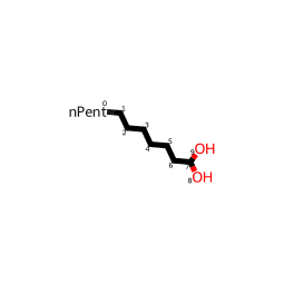 [CH2]CCCCCCCCCC[C](O)O